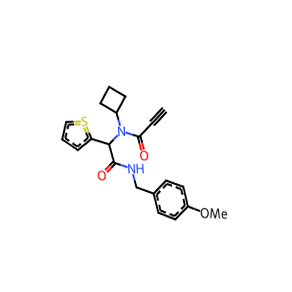 C#CC(=O)N(C1CCC1)C(C(=O)NCc1ccc(OC)cc1)c1cccs1